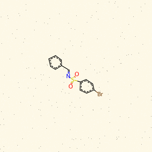 O=S(=O)(/N=C/c1ccccc1)c1ccc(Br)cc1